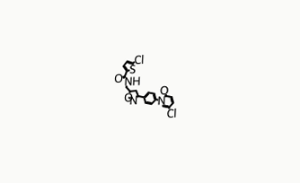 O=C(NCC1CC(c2ccc(-n3cc(Cl)ccc3=O)cc2)=NO1)c1ccc(Cl)s1